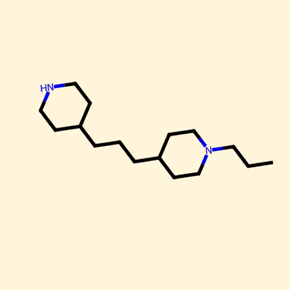 CCCN1CCC(CCCC2CCNCC2)CC1